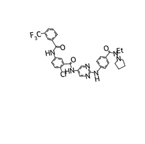 CCN(C(=O)c1ccc(Nc2ncc(NC(=O)c3cc(NC(=O)c4cccc(C(F)(F)F)c4)ccc3Cl)cn2)cc1)N1CCCC1